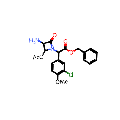 COc1ccc(C(C(=O)OCc2ccccc2)N2C(=O)C(N)C2OC(C)=O)cc1Cl